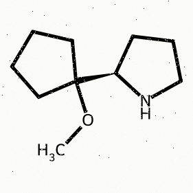 COC1([C@H]2CCCN2)CCCC1